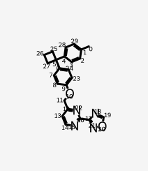 Cc1ccc(C2(c3ccc(OCc4ccnc(-c5ncon5)n4)cc3)CCC2)cc1